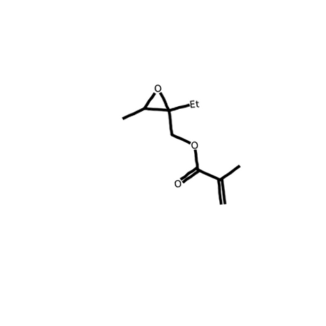 C=C(C)C(=O)OCC1(CC)OC1C